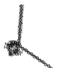 COCCOCCOCCOCCOCCOCCOCCOCCOCCOCCOCCOc1ccc(CC(C(=O)N[C@H](C(=O)N[C@H](C)C(=O)Nc2ccc(COC(C)=O)c(CC[C@@H]3O[C@H](C(=O)O)[C@@H](O)[C@H](O)[C@H]3O)c2)C(C)C)N2C(=O)C=CC2=O)cc1OCCOCCOCCOCCOCCOCCOCCOCCOCCOCCOCCOC